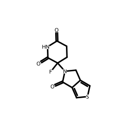 O=C1CCC(F)(N2Cc3cscc3C2=O)C(=O)N1